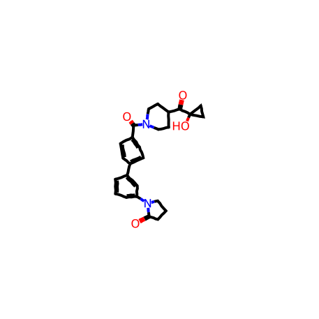 O=C(c1ccc(-c2cccc(N3CCCC3=O)c2)cc1)N1CCC(C(=O)C2(O)CC2)CC1